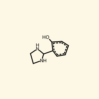 Oc1ccccc1C1NCCN1